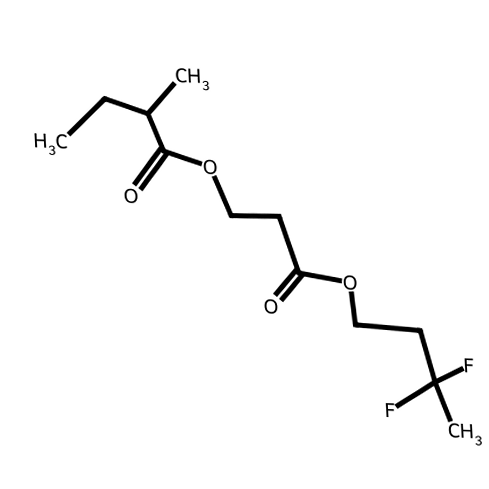 CCC(C)C(=O)OCCC(=O)OCCC(C)(F)F